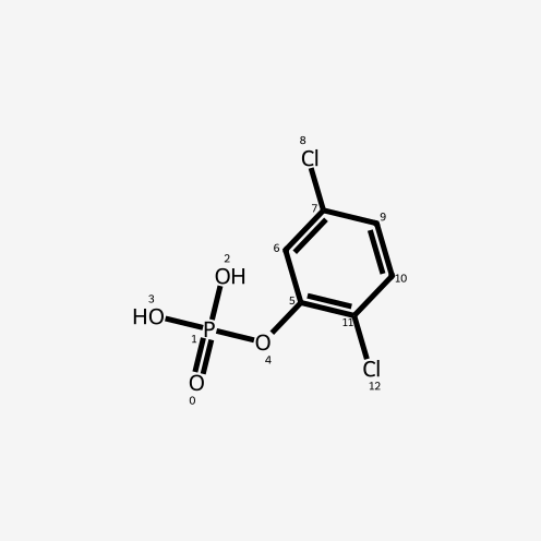 O=P(O)(O)Oc1cc(Cl)ccc1Cl